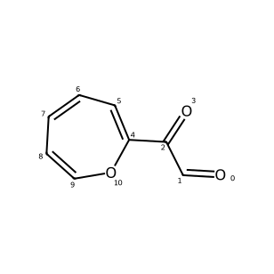 O=CC(=O)C1=CC=CC=CO1